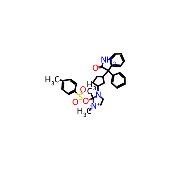 Cc1ccc(S(=O)(=O)OC2(C)N(C3CCC(C(C(N)=O)(c4ccccc4)c4ccccc4)C3)CC[N+]2C)cc1